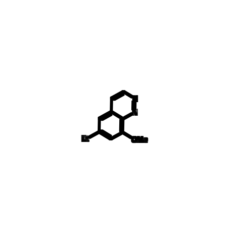 CCc1cc(OC)c2nnccc2c1